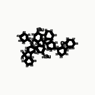 CC(C)(C)c1ccc2c(c1)C(c1ccccc1)(c1ccc(-c3cccc4c3oc3ccccc34)cc1)c1cc(C(C)(C)C)cc(N(c3ccccc3)c3ccc4c(c3)C(C)(C)c3ccccc3-4)c1-2